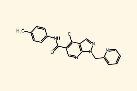 Cc1ccc(NC(=O)c2cnc3c(cnn3Cc3ccccn3)c2Cl)cc1